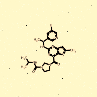 Cc1cc2nc(NC(C)c3cncc(F)c3)nc(C(=O)N3CCN(C(=O)NC(C)C)C3)c2s1